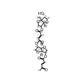 CC(=O)/C=C/C(=O)O[C@@H]1CO[C@H]2[C@@H]1OC[C@H]2OC(=O)/C=C/C(=O)O[C@H]1CO[C@H]2[C@@H]1OC[C@H]2O